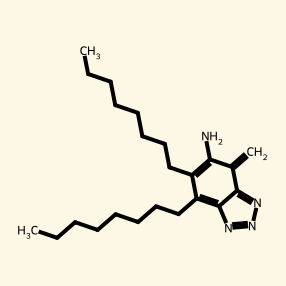 C=c1c(N)c(CCCCCCCC)c(CCCCCCCC)c2c1=NN=N2